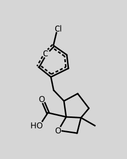 CC12CCC(Cc3ccc(Cl)cc3)C1(C(=O)O)OC2